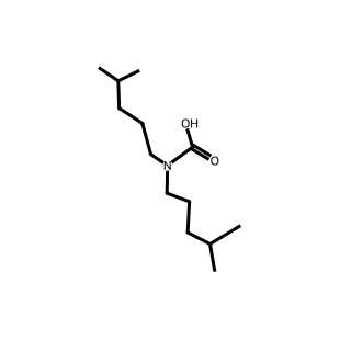 CC(C)CCCN(CCCC(C)C)C(=O)O